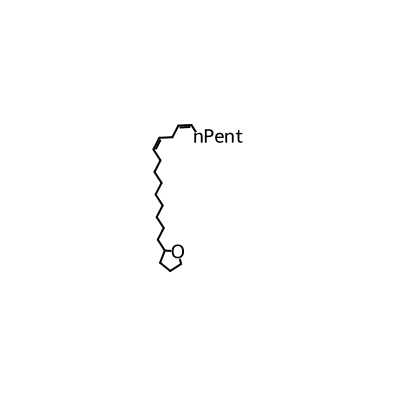 CCCCC/C=C\C/C=C\CCCCCCCCC1CCCO1